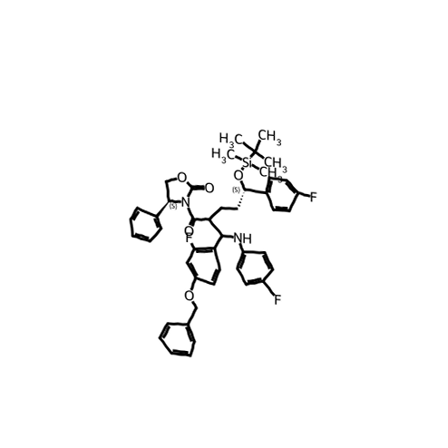 CC(C)(C)[Si](C)(C)O[C@@H](CCC(C(=O)N1C(=O)OC[C@@H]1c1ccccc1)C(Nc1ccc(F)cc1)c1ccc(OCc2ccccc2)cc1F)c1ccc(F)cc1